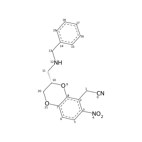 N#CCc1c([N+](=O)[O-])ccc2c1O[C@@H](CNCc1ccccc1)CO2